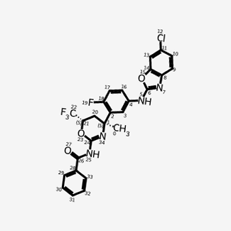 C[C@@]1(c2cc(Nc3nc4ccc(Cl)cc4o3)ccc2F)C[C@@H](C(F)(F)F)OC(NC(=O)c2ccccc2)=N1